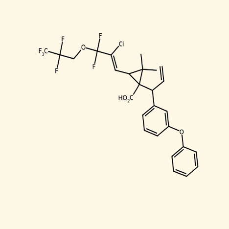 C=CC(c1cccc(Oc2ccccc2)c1)C1(C(=O)O)C(C=C(Cl)C(F)(F)OCC(F)(F)C(F)(F)F)C1(C)C